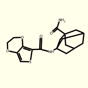 NC(=O)C12CC3CC(CC(NC(=O)c4scc5c4OCCO5)(C3)C1)C2